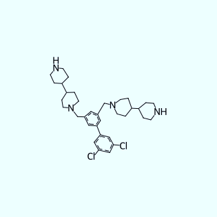 Clc1cc(Cl)cc(-c2cc(CN3CCC(C4CCNCC4)CC3)cc(CN3CCC(C4CCNCC4)CC3)c2)c1